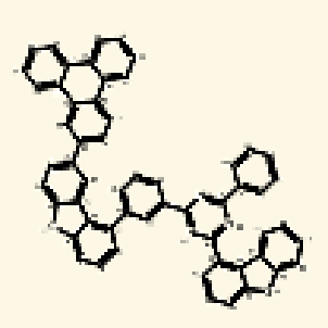 c1ccc(-c2nc(-c3cccc(-c4cccc5oc6ccc(-c7ccc8c9ccccc9c9ccccc9c8c7)cc6c45)c3)nc(-c3cccc4sc5ccccc5c34)n2)cc1